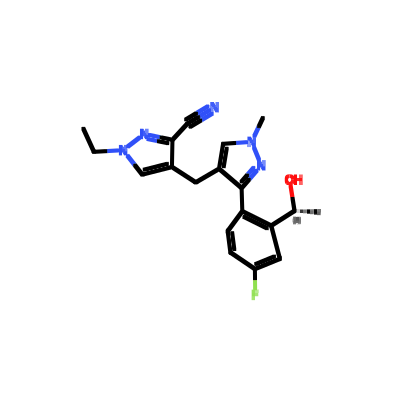 CCn1cc(Cc2cn(C)nc2-c2ccc(F)cc2[C@@H](C)O)c(C#N)n1